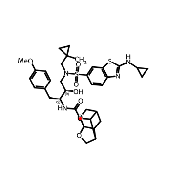 COc1ccc(C[C@H](NC(=O)OC2C3COC4OCC2C4C3)[C@H](O)CN(CC2(C)CC2)S(=O)(=O)c2ccc3nc(NC4CC4)sc3c2)cc1